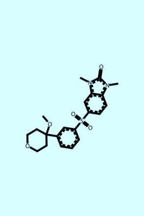 COC1(c2cccc(S(=O)(=O)c3ccc4c(c3)n(C)c(=O)n4C)c2)CCOCC1